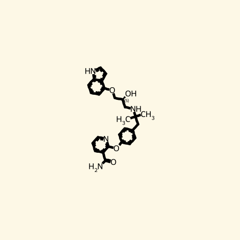 CC(C)(Cc1ccc(Oc2ncccc2C(N)=O)cc1)NC[C@H](O)COc1cccc2[nH]ccc12